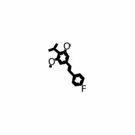 COc1cc(C=Cc2ccc(F)cc2)cc(OC)c1C(C)C